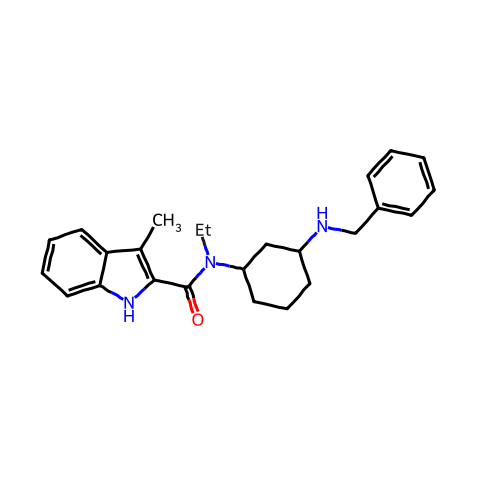 CCN(C(=O)c1[nH]c2ccccc2c1C)C1CCCC(NCc2ccccc2)C1